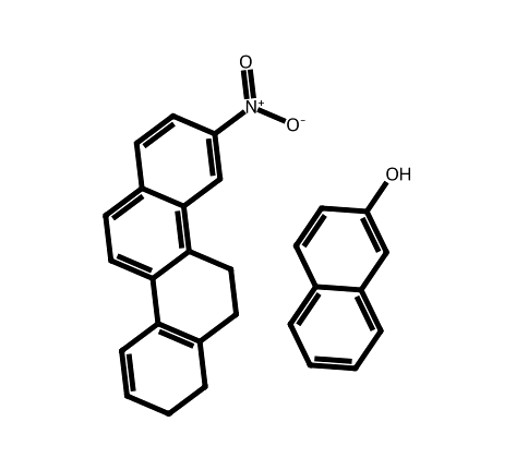 O=[N+]([O-])c1ccc2ccc3c(c2c1)CCC1=C3C=CCC1.Oc1ccc2ccccc2c1